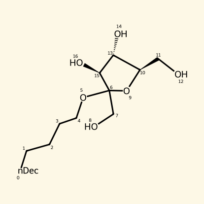 CCCCCCCCCCCCCCOC1(CO)O[C@H](CO)[C@@H](O)[C@@H]1O